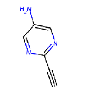 C#Cc1ncc(N)cn1